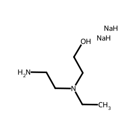 CCN(CCN)CCO.[NaH].[NaH]